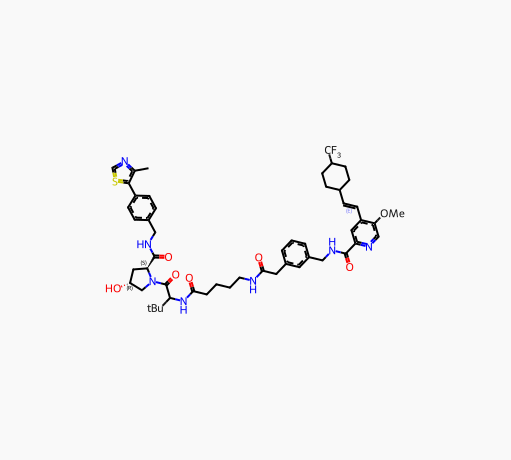 COc1cnc(C(=O)NCc2cccc(CC(=O)NCCCCC(=O)NC(C(=O)N3C[C@H](O)C[C@H]3C(=O)NCc3ccc(-c4scnc4C)cc3)C(C)(C)C)c2)cc1/C=C/C1CCC(C(F)(F)F)CC1